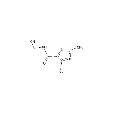 CCc1nc(C)sc1C(=O)NCC#N